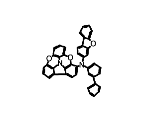 c1ccc(-c2cccc(N(c3ccc4c(c3)oc3ccccc34)c3ccc4c5cccc6c5n5c4c3Oc3cccc(c3-5)O6)c2)cc1